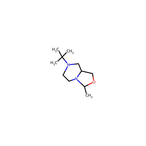 CC1OCC2CN(C(C)(C)C)CCN21